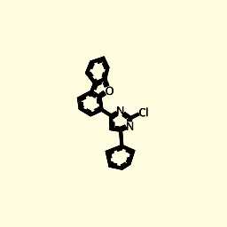 Clc1nc(-c2ccccc2)cc(-c2cccc3c2oc2ccccc23)n1